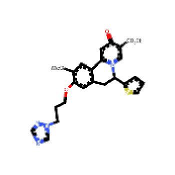 CCOC(=O)c1cn2c(cc1=O)-c1cc(OC)c(OCCCn3cncn3)cc1CC2c1cccs1